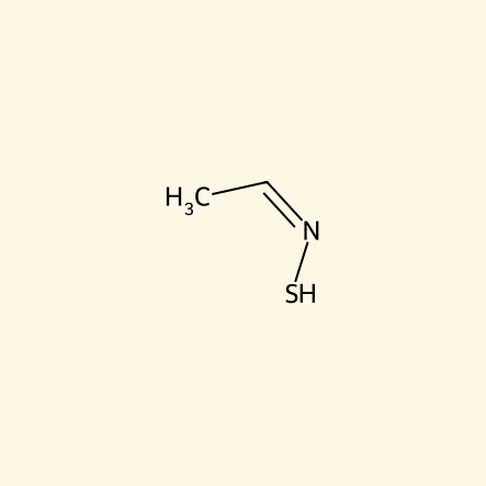 C/C=N\S